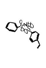 C=Cc1ccc(S(=O)(=O)NS(=O)(=O)c2ccccc2)cc1